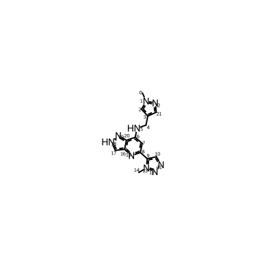 Cn1cc(CNc2cc(-c3cnnn3C)nc3c[nH]nc23)cn1